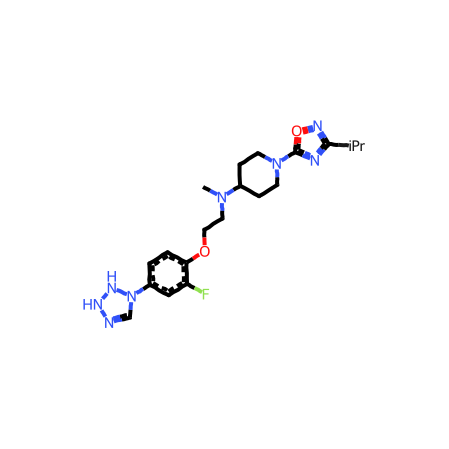 CC(C)c1noc(N2CCC(N(C)CCOc3ccc(N4C=NNN4)cc3F)CC2)n1